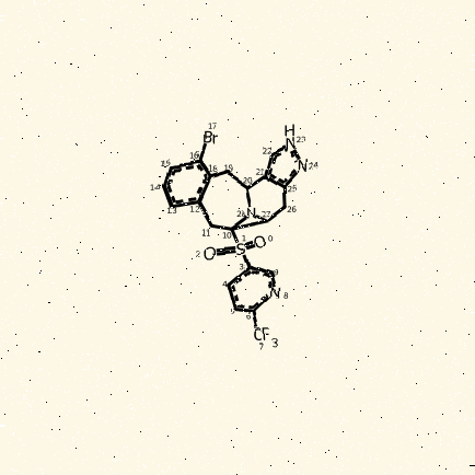 O=S(=O)(c1ccc(C(F)(F)F)nc1)C12Cc3cccc(Br)c3CC3c4c[nH]nc4CC1N32